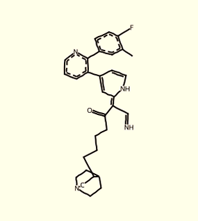 Cc1cc(-c2ncccc2C2=C/C(=C(/C=N)C(=O)CCCCC3CN4CCC3CC4)NC=C2)ccc1F